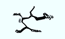 COC(=O)[C@H](SC)N(C)CC(=O)O